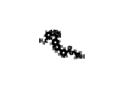 Cc1cccc(-c2[nH]cnc2-c2ccc3ncc(-c4cncc(C(=O)OCC5CNC5)c4)cc3c2)n1